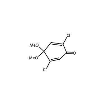 COC1(OC)C=C(Cl)C(=O)C=C1Cl